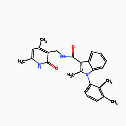 Cc1cc(C)c(CNC(=O)c2c(C)n(-c3cccc(C)c3C)c3ccccc23)c(=O)[nH]1